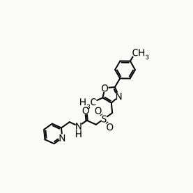 Cc1ccc(-c2nc(CS(=O)(=O)CC(=O)NCc3ccccn3)c(C)o2)cc1